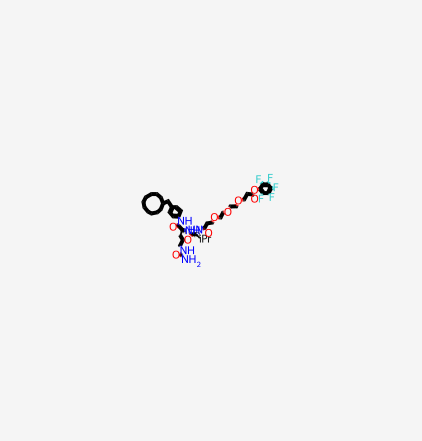 CC(C)[C@H](NC(=O)CCOCCOCCOCCC(=O)Oc1c(F)c(F)c(F)c(F)c1F)C(=O)N[C@@H](CCCNC(N)=O)C(=O)Nc1ccc(CC2CCCCCCCCCC2)cc1